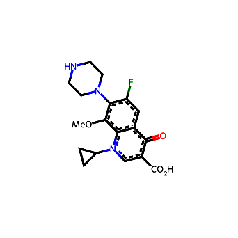 COc1c(N2CCNCC2)c(F)cc2c(=O)c(C(=O)O)cn(C3CC3)c12